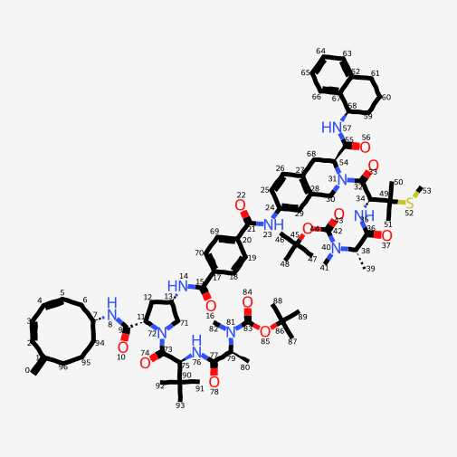 C=C1/C=C\C=C/C[C@H](NC(=O)[C@@H]2C[C@H](NC(=O)c3ccc(C(=O)Nc4ccc5c(c4)CN(C(=O)[C@@H](NC(=O)[C@H](C)N(C)C(=O)OC(C)(C)C)C(C)(C)SC)[C@H](C(=O)N[C@@H]4CCCc6ccccc64)C5)cc3)CN2C(=O)[C@@H](NC(=O)[C@H](C)N(C)C(=O)OC(C)(C)C)C(C)(C)C)CCC1